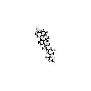 CC(F)(F)c1cc(NC(=O)c2cnn(-c3cnc(Cl)c4sccc34)c2C(F)(F)F)ccn1